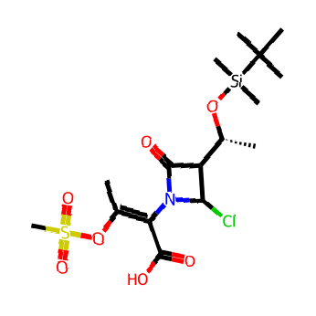 C/C(OS(C)(=O)=O)=C(/C(=O)O)N1C(=O)C([C@@H](C)O[Si](C)(C)C(C)(C)C)C1Cl